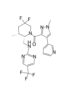 C[C@@H]1CC(F)(F)CN(C(=O)c2nn(C)cc2-c2cccnc2)[C@@H]1CNc1ncc(C(F)(F)F)cn1